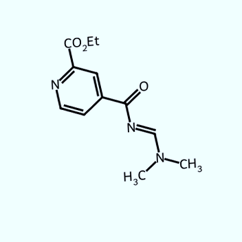 CCOC(=O)c1cc(C(=O)N=CN(C)C)ccn1